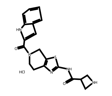 Cl.O=C(Nc1nc2c(s1)CN(C(=O)c1cc3ccccc3[nH]1)CC2)C1CNC1